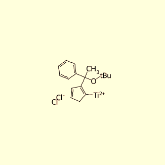 CC(C)(C)OC(C)(C1=[C]([Ti+2])CC=C1)c1ccccc1.[Cl-].[Cl-]